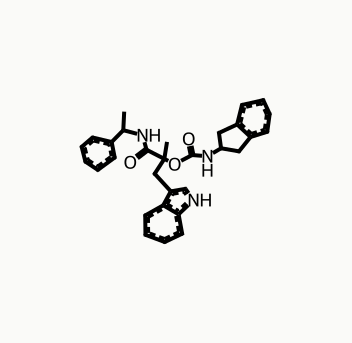 CC(NC(=O)C(C)(Cc1c[nH]c2ccccc12)OC(=O)NC1Cc2ccccc2C1)c1ccccc1